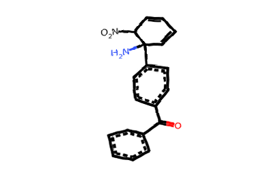 NC1(c2ccc(C(=O)c3ccccc3)cc2)C=CC=CC1[N+](=O)[O-]